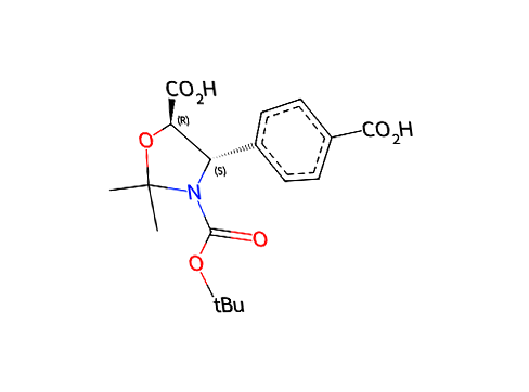 CC(C)(C)OC(=O)N1[C@@H](c2ccc(C(=O)O)cc2)[C@H](C(=O)O)OC1(C)C